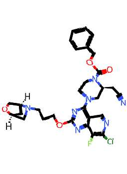 N#CC[C@H]1CN(c2nc(OCCCN3C[C@@H]4C[C@H]3CO4)nc3c(F)c(Cl)ncc23)CCN1C(=O)OCc1ccccc1